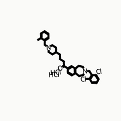 Cc1ccccc1CN1CCC(CCCC(=O)c2ccc3c(c2)CCN(Cc2c(Cl)cccc2Cl)CC3)CC1.Cl.Cl